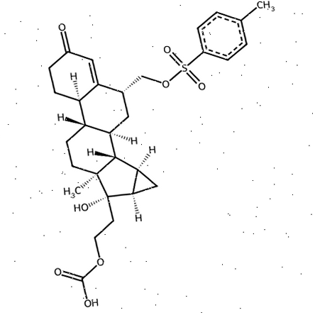 Cc1ccc(S(=O)(=O)OC[C@@H]2C[C@@H]3[C@H](CC[C@@]4(C)[C@H]3[C@H]3C[C@H]3[C@@]4(O)CCOC(=O)O)[C@H]3CCC(=O)C=C23)cc1